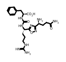 N=C(N)NCCC[C@H](NC(=O)N[C@@H](Cc1cc#ccc1)C(=O)O)c1nc([C@@H](N)CCC(N)=O)no1